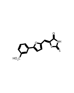 O=C1NC(=S)S/C1=C\c1ccc(-c2cccc(C(=O)O)c2)o1